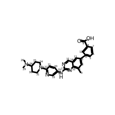 Cc1cc(-c2cccc(C(=O)O)c2)cc2cnc(Nc3ccc(N4CCC(N(C)C)CC4)nc3)nc12